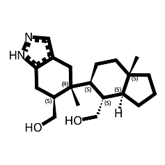 C[C@@]12CCC[C@H]1[C@H](CO)[C@@H]([C@@]1(C)Cc3cn[nH]c3C[C@@H]1CO)CC2